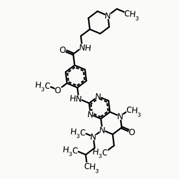 CCC1C(=O)N(C)c2cnc(Nc3ccc(C(=O)NCC4CCN(CC)CC4)cc3OC)nc2N1N(C)CC(C)C